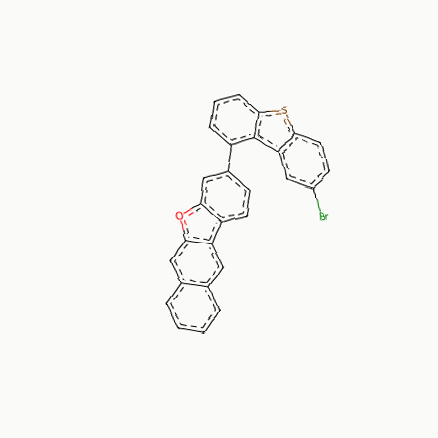 Brc1ccc2sc3cccc(-c4ccc5c(c4)oc4cc6ccccc6cc45)c3c2c1